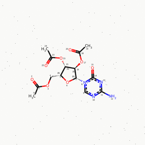 CC(=O)OC[C@H]1O[C@@H](n2cnc(N)nc2=O)[C@H](OC(C)=O)[C@H]1OC(C)=O